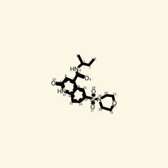 CCC(C)NC(=O)c1cc(=O)[nH]c2ccc(S(=O)(=O)N3CCOCC3)cc12